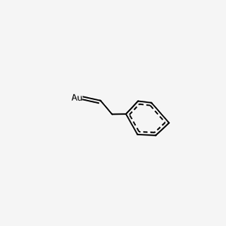 [Au]=[CH]Cc1ccccc1